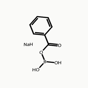 O=C(OB(O)O)c1ccccc1.[NaH]